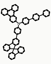 c1ccc(-c2ccc(-c3ccc(N(c4ccc(-c5ccc6c(c5)-c5ccccc5C65c6ccccc6-c6ccccc65)cc4)c4ccc5c6ccccc6c6ccccc6c5c4)cc3)cc2)cc1